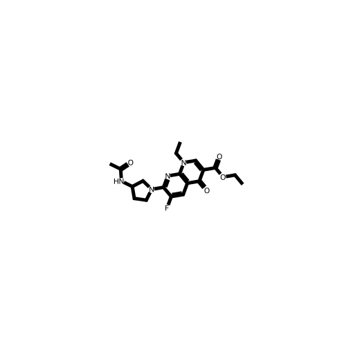 CCOC(=O)c1cn(CC)c2nc(N3CCC(NC(C)=O)C3)c(F)cc2c1=O